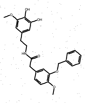 COc1ccc(CC(=O)NCCc2cc(O)c(O)c(OC)c2)cc1OCc1ccccc1